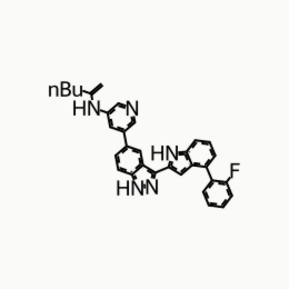 C=C(CCCC)Nc1cncc(-c2ccc3[nH]nc(-c4cc5c(-c6ccccc6F)cccc5[nH]4)c3c2)c1